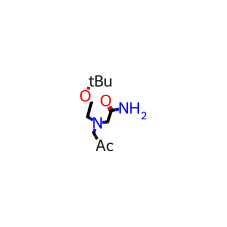 CC(=O)CN(CCOC(C)(C)C)CC(N)=O